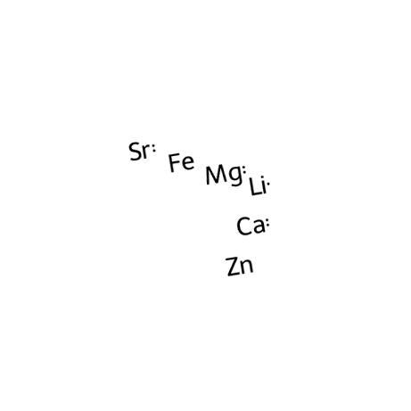 [Ca].[Fe].[Li].[Mg].[Sr].[Zn]